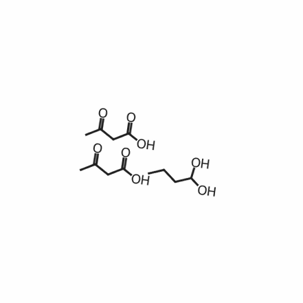 CC(=O)CC(=O)O.CC(=O)CC(=O)O.CCCC(O)O